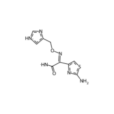 [NH]C(=O)C(=NOCc1c[nH]cn1)c1csc(N)n1